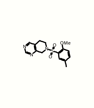 COc1ccc(C)cc1S(=O)(=O)N1CCc2[c]ncnc2C1